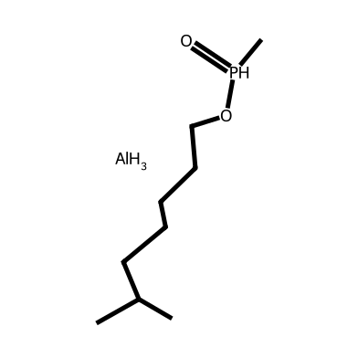 CC(C)CCCCCO[PH](C)=O.[AlH3]